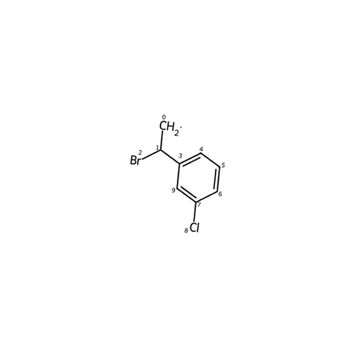 [CH2]C(Br)c1cccc(Cl)c1